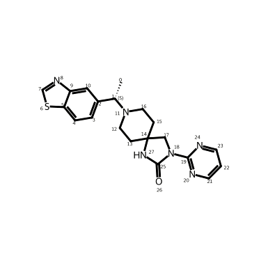 C[C@@H](c1ccc2scnc2c1)N1CCC2(CC1)CN(c1ncccn1)C(=O)N2